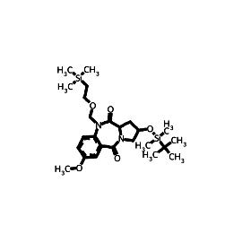 COc1ccc2c(c1)C(=O)N1CC(O[Si](C)(C)C(C)(C)C)CC1C(=O)N2COCC[Si](C)(C)C